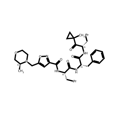 CC(C)C[C@H](NC(=O)c1cc(CN2CCOC[C@@H]2C)on1)C(=O)N[C@@H](Cc1ccccc1)C(=O)N[C@@H](CC(C)C)C(=O)C1(C)CC1